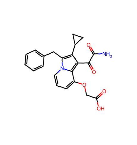 NC(=O)C(=O)c1c(C2CC2)c(Cc2ccccc2)n2cccc(OCC(=O)O)c12